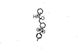 Cc1ccc(S(=O)(=O)N2CCCC(CC(=O)NN3CCCCC3)C2)cc1